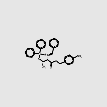 C[C@@H](O[Si](c1ccccc1)(c1ccccc1)C(C)(C)C)[C@H](N=Cc1ccccc1)C(=O)OCc1ccc([N+](=O)[O-])cc1